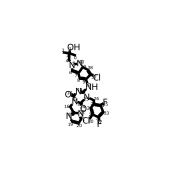 CC(C)(O)Cn1cc2cc(Nc3nc(=O)n(Cc4ncccn4)c(=O)n3Cc3cc(Cl)c(F)cc3F)c(Cl)cc2n1